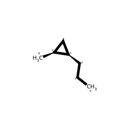 CCC[C@@H]1C[C@@H]1C